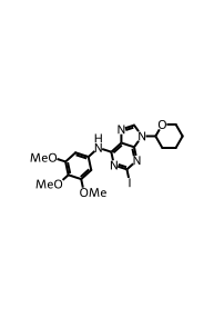 COc1cc(Nc2nc(I)nc3c2ncn3C2CCCCO2)cc(OC)c1OC